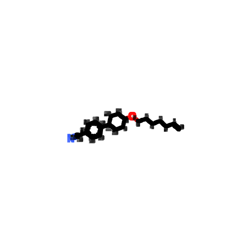 C=CCCCCCOC1CCC(c2ccc(C#N)cc2)CC1